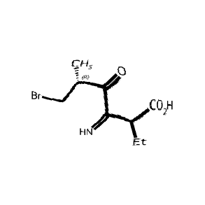 CCC(C(=N)C(=O)[C@@H](C)CBr)C(=O)O